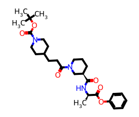 C[C@@H](NC(=O)[C@@H]1CCCN(C(=O)CCC2CCN(C(=O)OC(C)(C)C)CC2)C1)C(=O)Oc1ccccc1